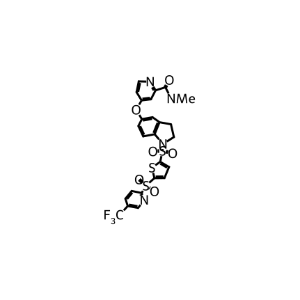 CNC(=O)c1cc(Oc2ccc3c(c2)CCN3S(=O)(=O)c2ccc(S(=O)(=O)c3ccc(C(F)(F)F)cn3)s2)ccn1